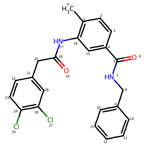 Cc1ccc(C(=O)NCc2ccccc2)cc1NC(=O)Cc1ccc(Cl)c(Cl)c1